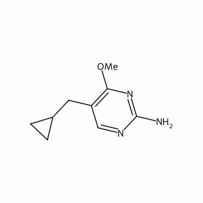 COc1nc(N)ncc1CC1CC1